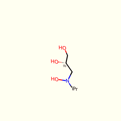 CC(C)N(O)C[C@H](O)CO